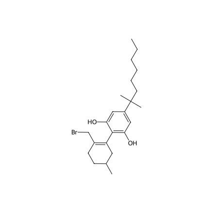 CCCCCCC(C)(C)c1cc(O)c(C2=C(CBr)CCC(C)C2)c(O)c1